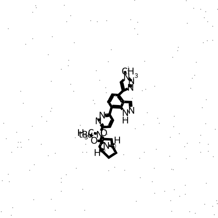 CN(c1ccc(-c2ccc(-c3cn(C)nn3)c3cn[nH]c23)nn1)C1C[C@H]2CC[C@@H](C1)N2C(=O)OC(C)(C)C